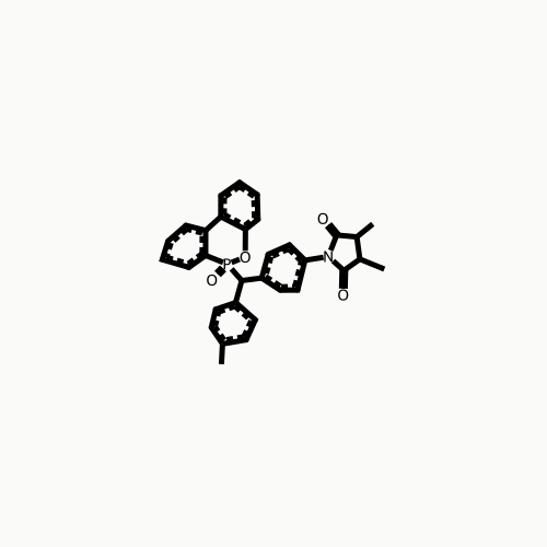 Cc1ccc(C(c2ccc(N3C(=O)C(C)C(C)C3=O)cc2)P2(=O)Oc3ccccc3-c3ccccc32)cc1